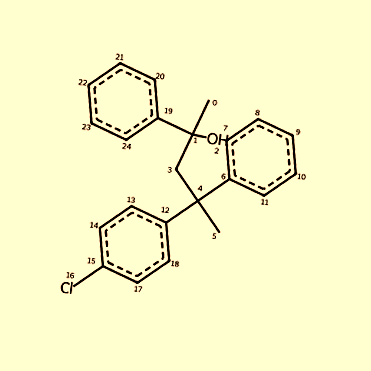 CC(O)(CC(C)(c1ccccc1)c1ccc(Cl)cc1)c1ccccc1